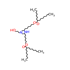 CCCCCCCC(CCCCCCC)C(=O)OCCCCCCC1CN(CCCO)CC(CCCCCCOC(=O)C(CCCCCCC)CCCCCCC)N1